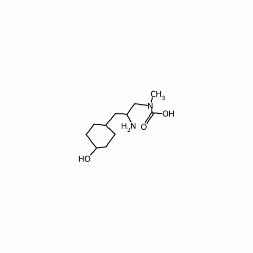 CN(CC(N)CC1CCC(O)CC1)C(=O)O